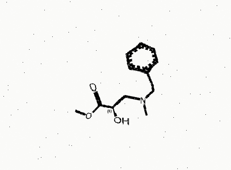 COC(=O)[C@H](O)CN(C)Cc1ccccc1